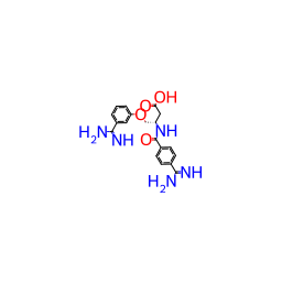 N=C(N)c1ccc(C(=O)N[C@H](COc2cccc(C(=N)N)c2)CC(=O)O)cc1